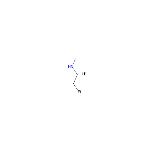 CCCCNI.[H+]